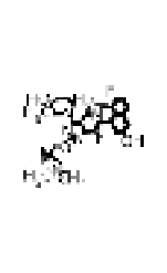 CCc1c(F)ccc2cc(O)cc(-c3ncc4c(N5CCC[C@@](C)(O)C5)nc(OCC5(CN(C)C)CC5)nc4c3F)c12